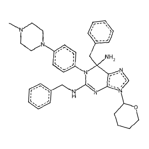 CN1CCN(c2ccc(N3C(NCc4ccccc4)=Nc4c(ncn4C4CCCCO4)C3(N)Cc3ccccc3)cc2)CC1